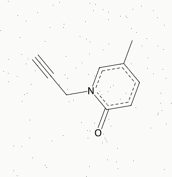 C#CCn1cc(C)ccc1=O